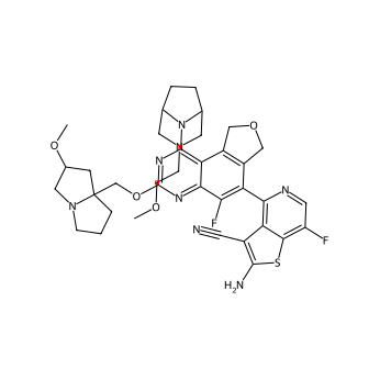 COCCN1CC2CCC(C1)N2c1nc(OCC23CCCN2CC(OC)C3)nc2c(F)c(-c3ncc(F)c4sc(N)c(C#N)c34)c3c(c12)COC3